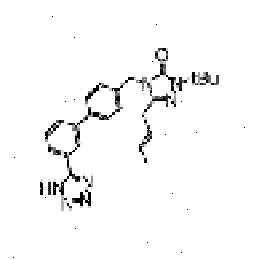 CC=CCc1nn(C(C)(C)C)c(=O)n1Cc1ccc(-c2cccc(-c3nnn[nH]3)c2)cc1